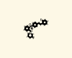 O=S(=O)(c1ccc(C=Cc2ccccc2F)cc1)c1ccccc1CN1CCCC(F)C1